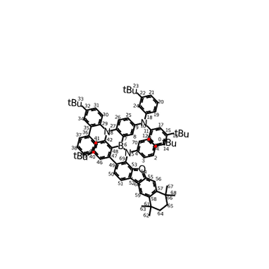 CC(C)(C)c1ccc(N2B3c4cc(N(c5cccc(C(C)(C)C)c5)c5cccc(C(C)(C)C)c5)ccc4N(c4ccc(C(C)(C)C)cc4-c4ccccc4)c4cc(C(C)(C)C)cc(c43)-c3ccc4c(oc5cc6c(cc54)C(C)(C)CCC6(C)C)c32)cc1